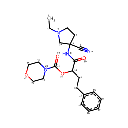 CCN1CCC(C#N)(NC(=O)C(CCc2ccccc2)OC(=O)N2CCOCC2)C1